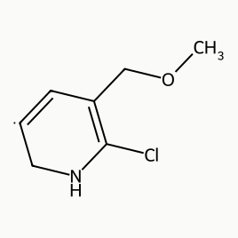 COCC1=C(Cl)NC[C]=C1